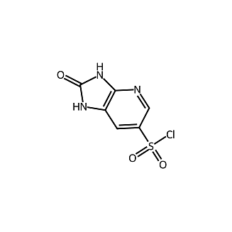 O=c1[nH]c2cc(S(=O)(=O)Cl)cnc2[nH]1